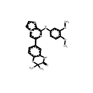 COc1ccc(Nc2nc(-c3ccc4c(c3)NC(=O)C(C)(C)O4)cn3ccnc23)cc1OC